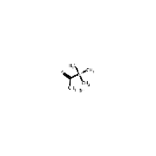 CC(=S)[N+](C)(C)C.[Br-]